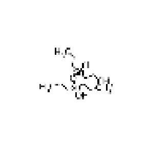 CC[CH2][Sn]([OH])([CH2]CC)[O][Sn]([Cl])([CH2]CC)[CH2]CC